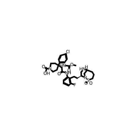 COC(=O)NC(C(=O)Nc1cccc(F)c1CC[C@H]1CN[C@@H]2CCCS(=O)(=O)N1C2)C1(c2ccc(Cl)cc2)CCN(C(=O)O)CC1